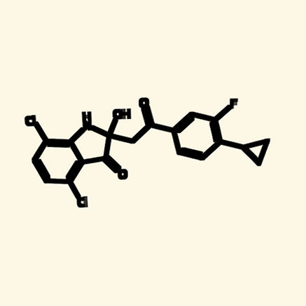 O=C(CC1(O)Nc2c(Cl)ccc(Cl)c2C1=O)c1ccc(C2CC2)c(F)c1